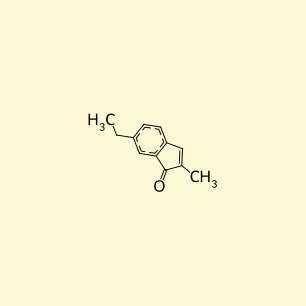 CCc1ccc2c(c1)C(=O)C(C)=C2